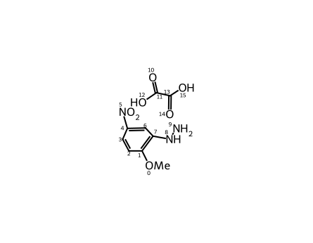 COc1ccc([N+](=O)[O-])cc1NN.O=C(O)C(=O)O